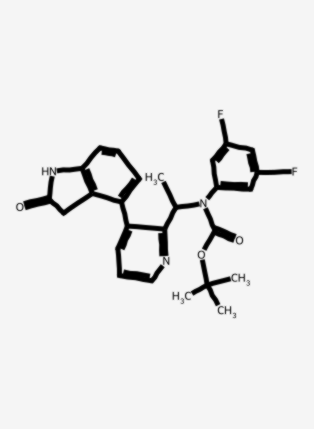 CC(c1ncccc1-c1cccc2c1CC(=O)N2)N(C(=O)OC(C)(C)C)c1cc(F)cc(F)c1